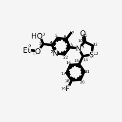 CCOC(O)c1cc(C)c(N2C(=O)CSC2c2ccc(F)cc2)cn1